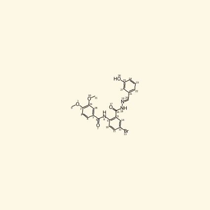 COc1ccc(C(=O)Nc2ccc(Br)cc2C(=O)NN=Cc2cccc(O)c2)cc1OC